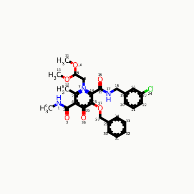 CNC(=O)c1c(C)n(CC(OC)OC)c(C(=O)NCc2cccc(Cl)c2)c(OCc2ccccc2)c1=O